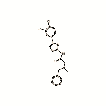 CN(CC(=O)Nc1ccn(-c2ccc(Cl)c(Cl)c2)n1)Cc1ccccc1